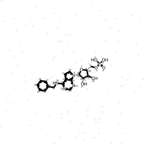 O=P(O)(O)OC[C@H]1O[C@@H](n2ccc3c(NCc4ccccc4)ncnc32)[C@@H](O)C1O